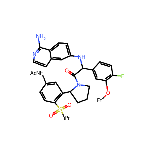 CCOc1cc(C(Nc2ccc3c(N)nccc3c2)C(=O)N2CCCC2c2cc(NC(C)=O)ccc2S(=O)(=O)C(C)C)ccc1F